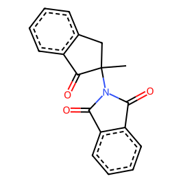 CC1(N2C(=O)c3ccccc3C2=O)Cc2ccccc2C1=O